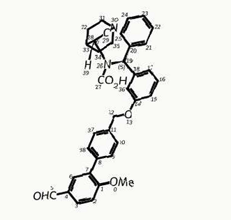 COc1ccc(C=O)cc1-c1ccc(COc2cccc([C@H](c3ccccc3)N(C(=O)O)[C@H]3CN4CCC3CC4)c2)cc1